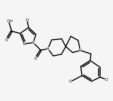 O=C(O)c1nn(C(=O)N2CCC3(CCN(Cc4cc(Cl)cc(Cl)c4)C3)CC2)cc1Cl